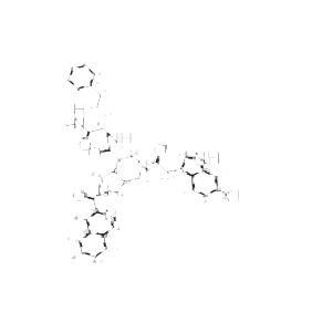 CNC(=O)[C@H](CCCc1ccccc1)NC(=O)C1CN(C(=O)Cc2c[nH]c3cc(Cl)ccc23)CC2CN(C(=O)c3cc4ccccc4cn3)CC21